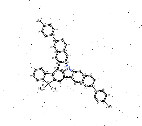 CC(C)c1ccc(-c2ccc3cc4c(cc3c2)c2cc3c(c5c6cc7cc(-c8ccc(C(C)(C)C)cc8)ccc7cc6n4c25)-c2ccccc2C3(C)C)cc1